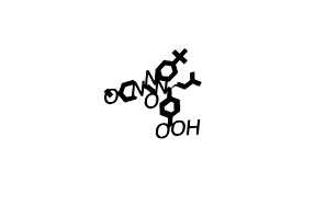 COC1CCN(C2=NC3(CCC(C(C)(C)C)CC3)N([C@H](CCC(C)C)c3ccc(C(=O)O)cc3)C2=O)CC1